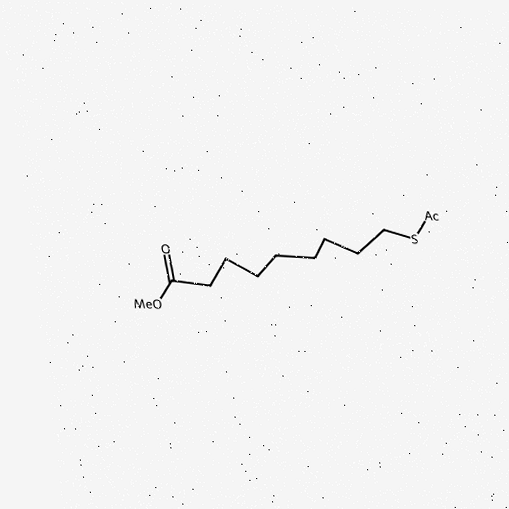 COC(=O)CCCCCCCCSC(C)=O